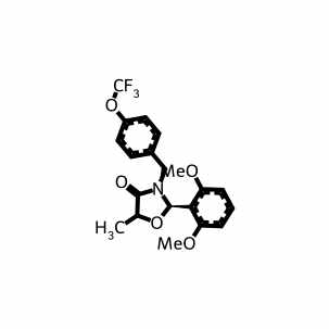 COc1cccc(OC)c1[C@H]1OC(C)C(=O)N1Cc1ccc(OC(F)(F)F)cc1